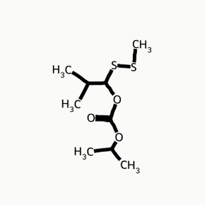 CSSC(OC(=O)OC(C)C)C(C)C